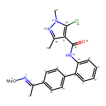 CO/N=C(\C)c1ccc(-c2ccccc2NC(=O)c2c(C)nn(C)c2Cl)cc1